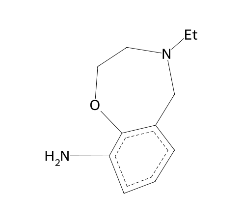 CCN1CCOc2c(N)cccc2C1